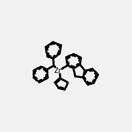 C1=CC[C]([Zr]([c]2cccc3c2Cc2ccccc2-3)[CH](c2ccccc2)c2ccccc2)=C1